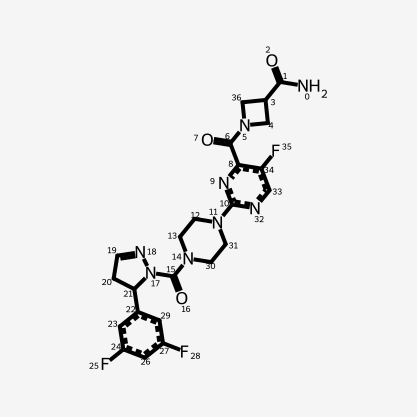 NC(=O)C1CN(C(=O)c2nc(N3CCN(C(=O)N4N=CCC4c4cc(F)cc(F)c4)CC3)ncc2F)C1